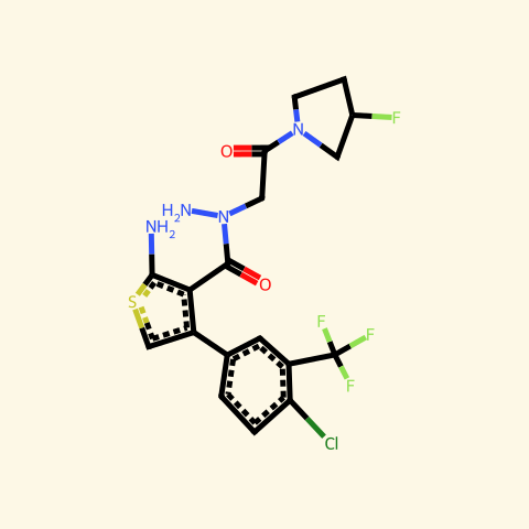 Nc1scc(-c2ccc(Cl)c(C(F)(F)F)c2)c1C(=O)N(N)CC(=O)N1CCC(F)C1